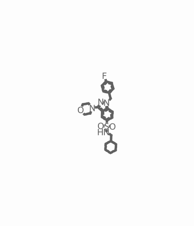 O=S(=O)(NCC1CCCCC1)c1ccc2c(c1)c(N1CCOCC1)nn2Cc1ccc(F)cc1